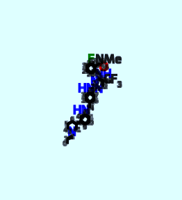 CC=CN1CCCC(c2cccc(NCc3ccc(Nc4ncc(C(F)(F)F)c(Nc5cccc(F)c5C(=O)NC)n4)cc3)c2)C1